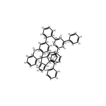 c1ccc(-c2ccc(-c3nc(-c4ccccc4)nc(-c4ccccc4-c4ccc5c(c4)Sc4ccccc4C54c5ccccc5-c5ccccc54)n3)cc2)cc1